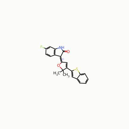 CC1(C)O/C(=C2/C(=O)Nc3cc(F)ccc32)C=C1c1cc2ccccc2s1